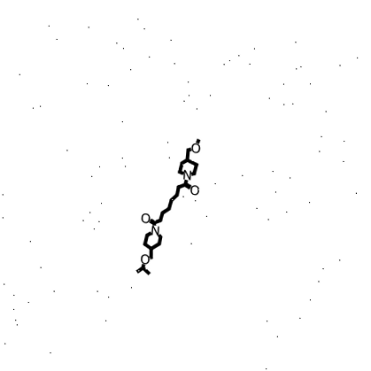 COCC1CCN(C(=O)CCCCCCC(=O)N2CCC(COC(C)C)CC2)CC1